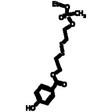 CCOP(C)(=O)OCCSSCCOC(=O)c1ccc(O)cc1